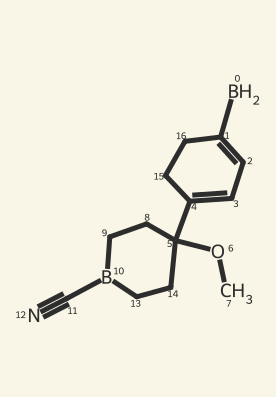 BC1=CC=C(C2(OC)CCB(C#N)CC2)CC1